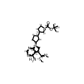 C/N=C(\SC)c1cn(C2CCC(C3CCN(C(=O)OC(C)(C)C)C3)C2)c2ncnc(N)c12